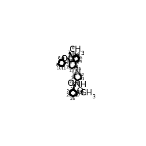 CCNC(=O)[C@]1(c2ccccc2)CC[C@@H](CN2CCC(NC(=O)c3ccccc3OC)CC2)c2ccccc21